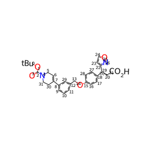 CC(C)(C)OC(=O)N1CC=C(c2cccc(COc3ccc([C@H](CC(=O)O)c4ccon4)cc3)c2)CC1